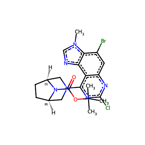 Cn1cnc2c3c(N4C[C@H]5CC[C@@H](C4)N5C(=O)OC(C)(C)C)nc(Cl)nc3cc(Br)c21